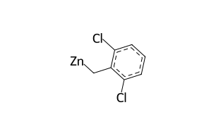 Clc1cccc(Cl)c1[CH2][Zn]